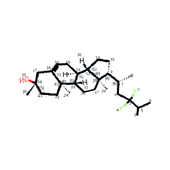 CC(C)C(F)(F)C[C@@H](C)[C@H]1CC[C@H]2[C@@H]3CC=C4C[C@@](C)(O)CC[C@]4(C)[C@H]3CC[C@]12C